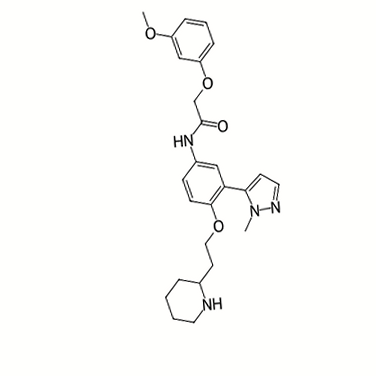 COc1cccc(OCC(=O)Nc2ccc(OCCC3CCCCN3)c(-c3ccnn3C)c2)c1